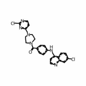 O=C(c1ccc(Nc2ccnc3cc(Cl)ccc23)cc1)N1CCN(c2ccnc(Cl)n2)CC1